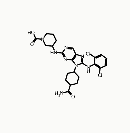 NC(=O)C1CCC(n2c(Nc3c(Cl)cccc3Cl)nc3cnc(NC4CCCN(C(=O)O)C4)nc32)CC1